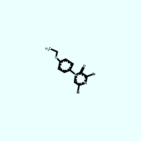 CCOc1ccc(-n2cc(Br)nc(Br)c2=O)cc1